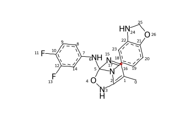 CC1=C2NOC(Nc3ccc(F)c(F)c3)(N=C1)N2c1ccc2c(c1)NCO2